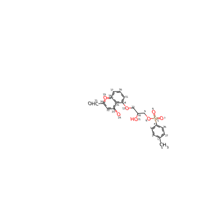 Cc1ccc(S(=O)(=O)OCC(O)COc2cccc3oc(C=O)cc(=O)c23)cc1